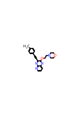 Cc1ccc(C#Cc2nc3ncccc3nc2OCCN2CCOCC2)cc1